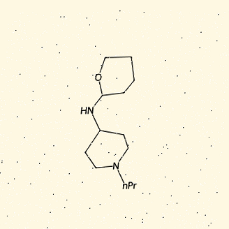 CCCN1CCC(NC2CCCCO2)CC1